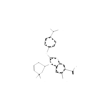 Cc1cc2c(cc1C(=O)O)nc(Nc1ccc(C(C)C)cc1)n2C1CCCC(C)(C)C1